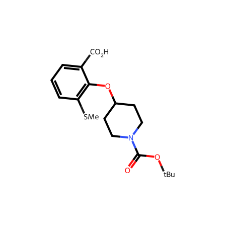 CSc1cccc(C(=O)O)c1OC1CCN(C(=O)OC(C)(C)C)CC1